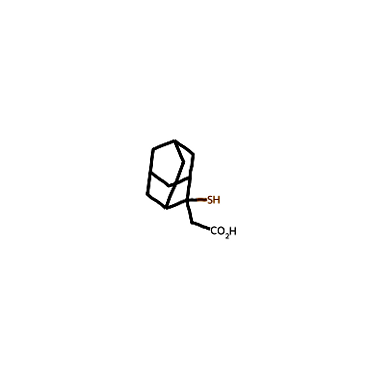 O=C(O)CC1(S)C2CC3CC(C2)CC1C3